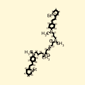 CC[n+]1ccccc1/C=C/c1ccc(N(C)CCCN(C)C(=O)CSSCC(=O)N(C)CCCN(C)c2ccc(/C=C/c3cccc[n+]3CC)cc2)cc1